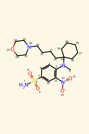 CN(c1ccc(S(N)(=O)=O)cc1[N+](=O)[O-])C1(CCCCN2CCOCC2)CCCCC1